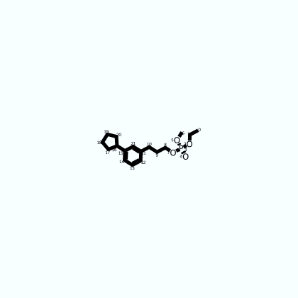 CCOP(=O)(OC)OCCCc1cccc(C2CCCC2)c1